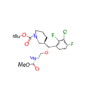 COC(=O)NCCO[C@@H](c1ccc(F)c(Cl)c1F)[C@@H]1CCCN(C(=O)OC(C)(C)C)C1